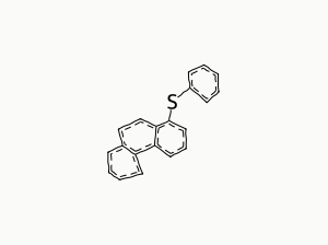 c1ccc(Sc2cccc3c2ccc2ccccc23)cc1